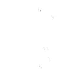 CC/C=C(\NC(c1ncccn1)C1CCCC1)c1ccc(N)c(C(C)NC)c1